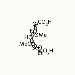 CC[C@@H](CC(=O)c1cc2cc(OCC(O)COc3c(OC)cc4c(c3F)CN(C(=O)CCC(=O)O)C4)c(OC)cc2[se]1)C(=O)O